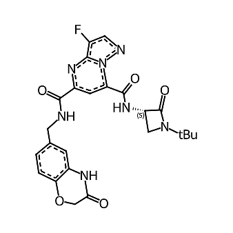 CC(C)(C)N1C[C@H](NC(=O)c2cc(C(=O)NCc3ccc4c(c3)NC(=O)CO4)nc3c(F)cnn23)C1=O